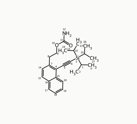 CC(C)[Si](C#Cc1c(CCOC(N)=O)ccc2ccccc12)(C(C)C)C(C)C